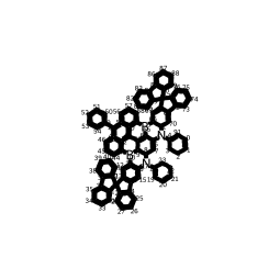 C1=CCCC(N2C3=CC4C5B(c6cc7c(cc6N4C4=CC=CCC4)-c4ccccc4C74c6ccccc6-c6ccccc64)c4cccc6c(-c7ccccc7)c7cccc8c7c(c46)C5=C3B8C3C=C4C(=CC32)c2ccccc2C42c3ccccc3-c3ccccc32)=C1